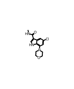 CNC(=O)c1c[nH]c2c(N3CCOCC3)cc(Cl)cc12